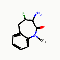 CN1C(=O)C(N)C(F)Cc2ccccc21